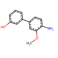 COc1cc(-c2cccc(O)c2)ccc1N